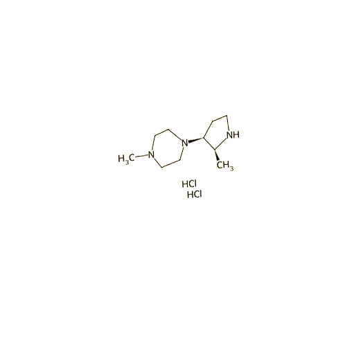 C[C@@H]1NCC[C@@H]1N1CCN(C)CC1.Cl.Cl